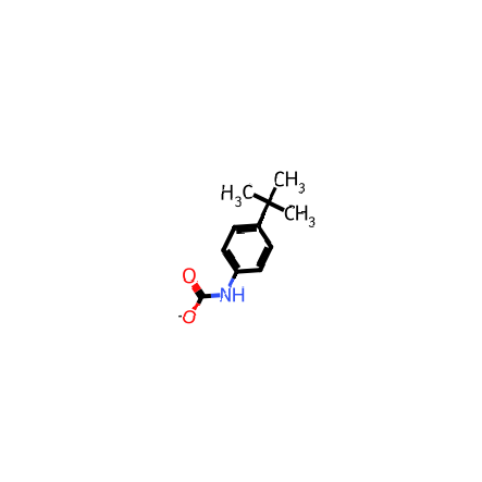 CC(C)(C)c1ccc(NC([O])=O)cc1